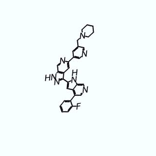 Fc1ccccc1-c1cncc2[nH]c(-c3n[nH]c4cnc(-c5cncc(CN6CCCCC6)c5)cc34)cc12